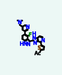 CC(=O)c1ccc(-c2nccc3[nH]c(-c4n[nH]c5ccc(-c6cncc(CN(C)C)c6)c(F)c45)nc23)s1